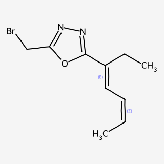 C/C=C\C=C(/CC)c1nnc(CBr)o1